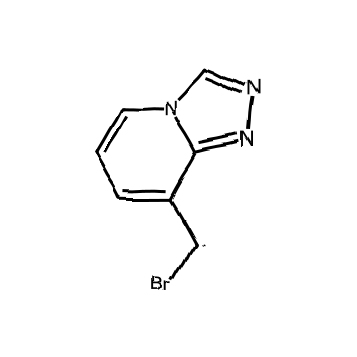 Br[CH]c1cccn2cnnc12